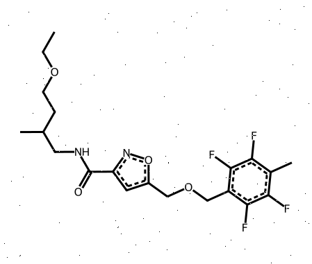 CCOCCC(C)CNC(=O)c1cc(COCc2c(F)c(F)c(C)c(F)c2F)on1